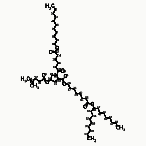 CCCCCCCCCCCOC(=O)CCCCC(=O)N1CC(OC(=O)CCN(C)C)CC1C(=O)OCCCCCCCC(=O)OC(CCCCCCCC)CCCCCCCC